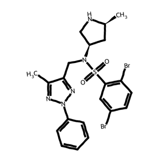 Cc1nn(-c2ccccc2)nc1CN([C@H]1CN[C@@H](C)C1)S(=O)(=O)c1cc(Br)ccc1Br